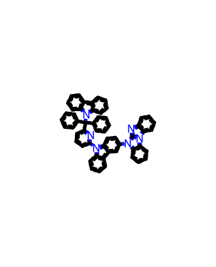 c1ccc(C(c2ccccc2)(c2cccc(-n3c4ccccc4c4cc(-n5c6ccccc6n6c7ccccc7nc56)ccc43)n2)n2c3ccccc3c3ccccc32)cc1